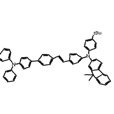 CC(C)(C)c1ccc(N(c2ccc(/C=C/c3ccc(-c4ccc(N(c5ccccc5)c5ccccc5)cc4)cc3)cc2)c2ccc3c(c2)C(C)(C)c2ccccc2-3)cc1